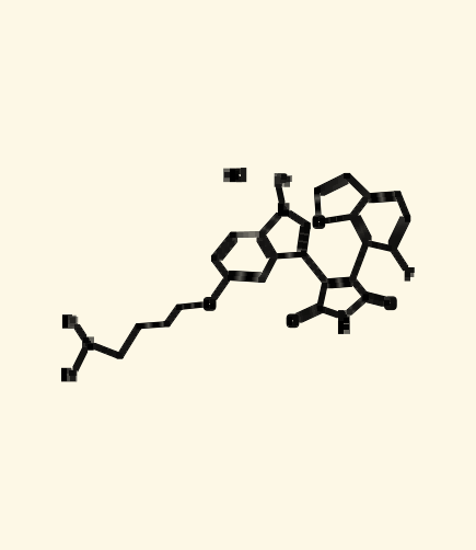 CCN(CC)CCCCOc1ccc2c(c1)c(C1=C(c3c(F)ccc4ccoc34)C(=O)NC1=O)cn2C(C)C.Cl